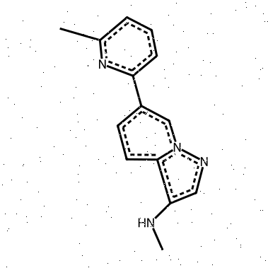 CNc1cnn2cc(-c3cccc(C)n3)ccc12